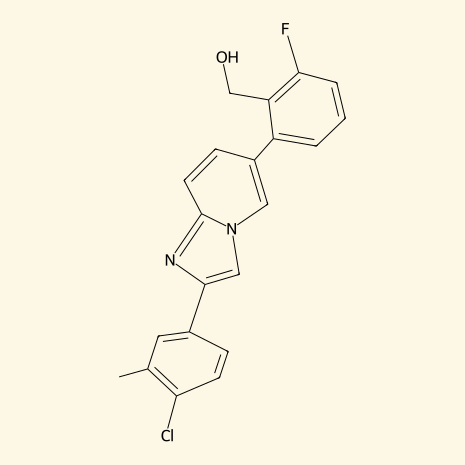 Cc1cc(-c2cn3cc(-c4cccc(F)c4CO)ccc3n2)ccc1Cl